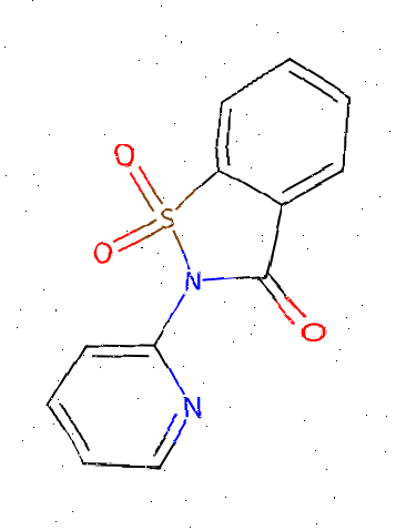 O=C1c2ccccc2S(=O)(=O)N1c1ccccn1